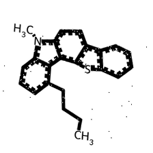 CCCCc1cccc2c1c1c3sc4ccccc4c3ccc1n2C